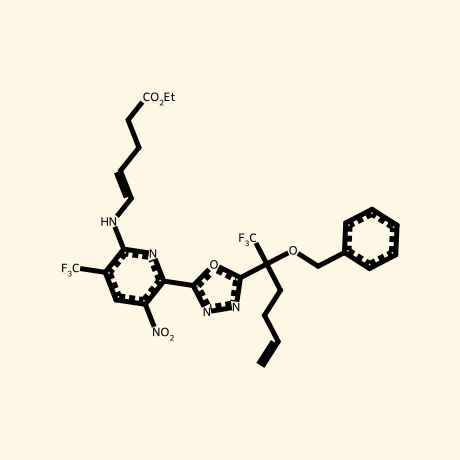 C=CCCC(OCc1ccccc1)(c1nnc(-c2nc(NC=CCCC(=O)OCC)c(C(F)(F)F)cc2[N+](=O)[O-])o1)C(F)(F)F